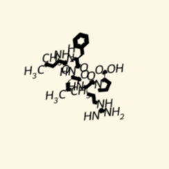 CC(C)C[C@H](NC(=O)[C@H](Cc1ccccc1)NC(=O)[C@@H](N)CC(C)C)C(=O)N[C@@H](CCCNC(=N)N)C(=O)N1CCC[C@H]1C(=O)O